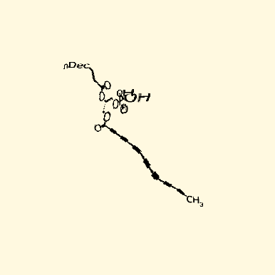 CC#CC#CC#CC#CC#CC#CC#CC(=O)OC[C@@H](COP(=O)(O)O)OC(=O)CCCCCCCCCCCC